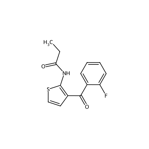 CCC(=O)Nc1sccc1C(=O)c1ccccc1F